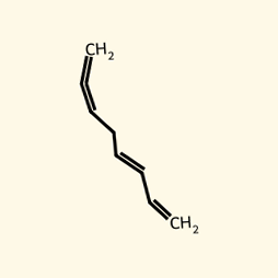 C=C=CCC=CC=C